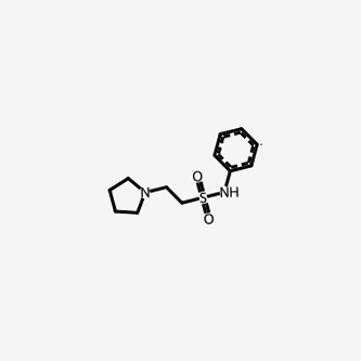 O=S(=O)(CCN1CCCC1)Nc1c[c]ccc1